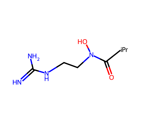 CC(C)C(=O)N(O)CCNC(=N)N